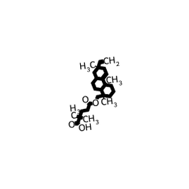 C=C[C@@]1(C)CC=C2C(CCC3[C@](C)(COC(=O)CCC(C)(C)C(=O)O)CCC[C@@]23C)C1